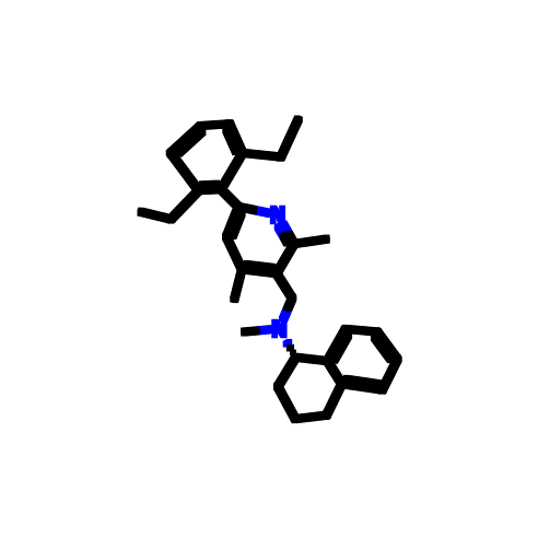 CCc1cccc(CC)c1-c1cc(C)c(CN(C)[C@H]2CCCc3ccccc32)c(C)n1